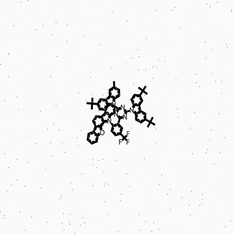 Cc1ccc2c(c1)c1cc(C(C)(C)C)ccc1n2-c1nc(-c2cc(C(F)(F)F)ccc2-n2c3ccccc3c3ccc4c5ccccc5oc4c32)nc(-n2c3ccc(C(C)(C)C)cc3c3cc(C(C)(C)C)ccc32)n1